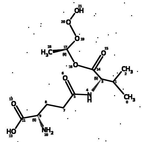 CC(C)[C@H](NC(=O)CC[C@H](N)C(=O)O)C(=O)O[C@@H](C)OOO